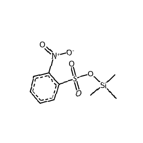 C[Si](C)(C)OS(=O)(=O)c1ccccc1[N+](=O)[O-]